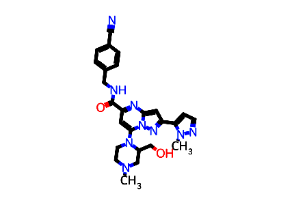 CN1CCN(c2cc(C(=O)NCc3ccc(C#N)cc3)nc3cc(-c4ccnn4C)nn23)C(CO)C1